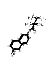 CC(C)C(C)(C)C(=O)Oc1ccc2cc(O)ccc2c1